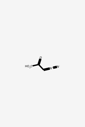 [N-]=[N+]=CC(=O)C(=O)O